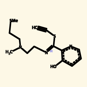 C#CS/C(=N\CCN(C)CCSC)c1ncccc1O